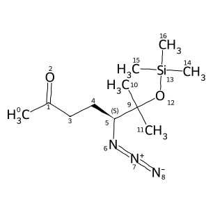 CC(=O)CC[C@H](N=[N+]=[N-])C(C)(C)O[Si](C)(C)C